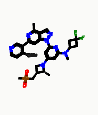 COc1ccncc1-c1cc2c(cnn2-c2cc(N3C[C@H](CS(C)(=O)=O)[C@H]3C)cc(N(C)C3CC(F)(F)C3)n2)c(C)n1